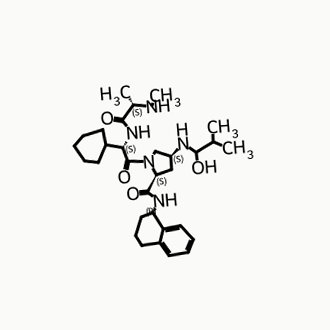 CN[C@@H](C)C(=O)N[C@H](C(=O)N1C[C@@H](NC(O)C(C)C)C[C@H]1C(=O)N[C@@H]1CCCc2ccccc21)C1CCCCC1